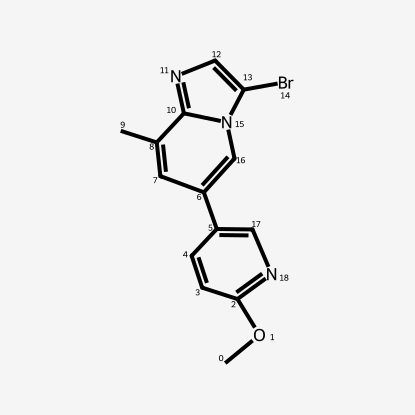 COc1ccc(-c2cc(C)c3ncc(Br)n3c2)cn1